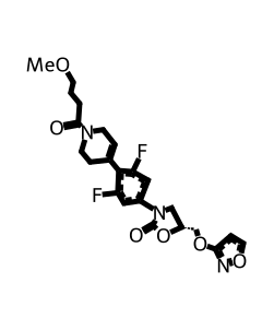 COCCCC(=O)N1CC=C(c2c(F)cc(N3C[C@H](COc4ccon4)OC3=O)cc2F)CC1